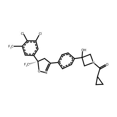 O=C(C1CC1)N1CC(O)(c2ccc(C3=NO[C@](c4cc(Cl)c(Cl)c(C(F)(F)F)c4)(C(F)(F)F)C3)cc2)C1